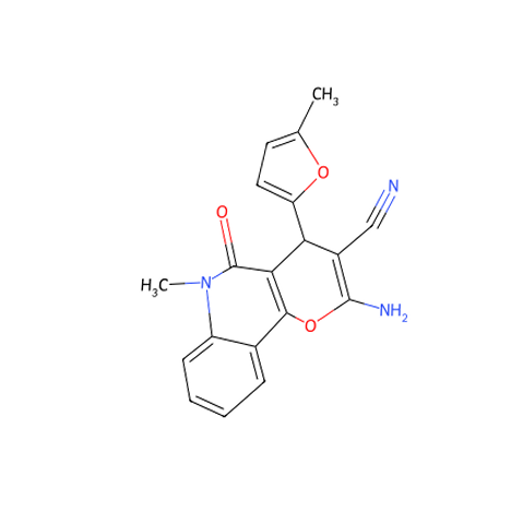 Cc1ccc(C2C(C#N)=C(N)Oc3c2c(=O)n(C)c2ccccc32)o1